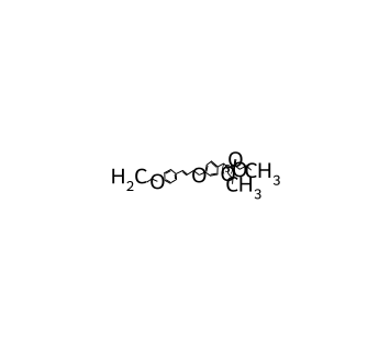 C=CCOc1ccc(C=CCOc2ccc(C[C@H](OCC)C(=O)OCC)cc2)cc1